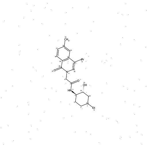 CCN1CC[C@@H](NC(=O)Cn2nc(C(C)C)c3cc(C)ccc3c2=O)[C@H](O)C1